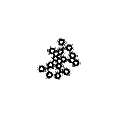 c1ccc(-c2cc(-c3ccc(N(c4ccccc4)c4ccccc4)cc3)c3c4ccc(N(c5ccccc5)c5ccccc5)cc4c4cc(-c5cc6ccccc6c6ccccc56)ccc4c3c2-c2ccc(N(c3ccccc3)c3ccccc3)cc2)cc1